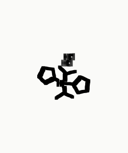 C[C](C)=[Hf]([C]1=CC=CC1)([C]1=CC=CC1)=[C](C)C.Cl.Cl